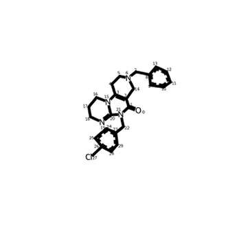 O=C1C2=C(CCN(Cc3ccccc3)C2)N2CCCN=C2N1Cc1ccc(Cl)cc1